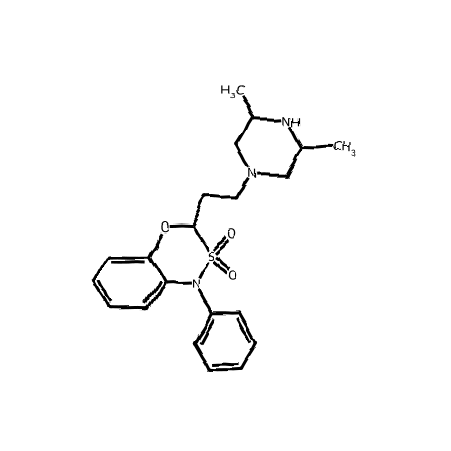 CC1CN(CCC2Oc3ccccc3N(c3ccccc3)S2(=O)=O)CC(C)N1